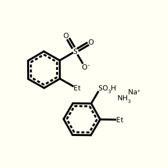 CCc1ccccc1S(=O)(=O)O.CCc1ccccc1S(=O)(=O)[O-].N.[Na+]